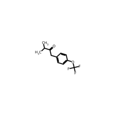 CC(C)C(=O)Cc1ccc(OC(F)(F)F)cc1